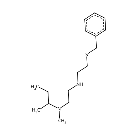 CCC(C)N(C)CCNCCSCc1ccccc1